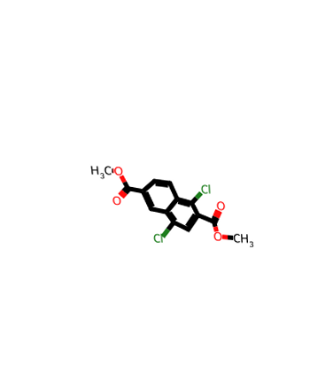 COC(=O)c1ccc2c(Cl)c(C(=O)OC)cc(Cl)c2c1